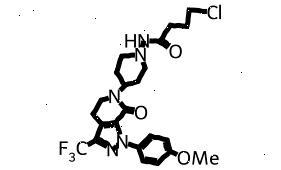 COc1ccc(-n2nc(C(F)(F)F)c3c2C(=O)N(C2CCN(NC(=O)CCCCl)CC2)CC3)cc1